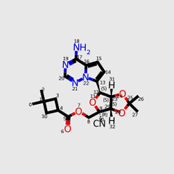 CC1(C)CC(C(=O)OC[C@@]2(C#N)O[C@@H](c3ccc4c(N)ncnn34)[C@@H]3OC(C)(C)O[C@@H]32)C1